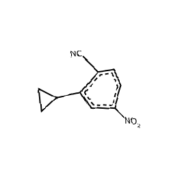 N#Cc1ccc([N+](=O)[O-])cc1C1CC1